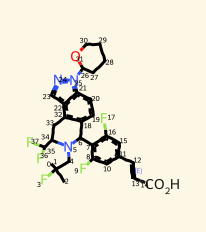 CC(C)(F)CN1C(c2c(F)cc(/C=C/C(=O)O)cc2F)c2ccc3c(cnn3C3CCCCO3)c2CC1C(F)F